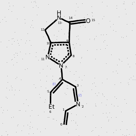 C=C/N=C\C(=C/CC)n1cc2c(n1)CNC2=O